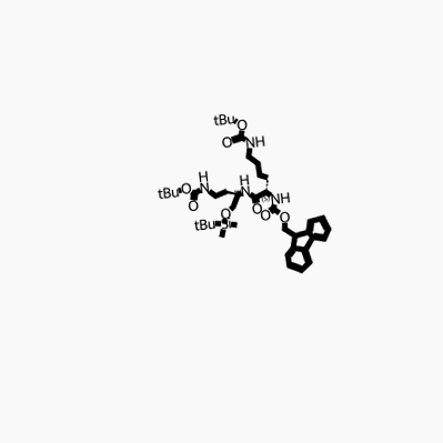 CC(C)(C)OC(=O)NCCCC[C@H](NC(=O)OCC1c2ccccc2-c2ccccc21)C(=O)N[C@H](CCNC(=O)OC(C)(C)C)CO[Si](C)(C)C(C)(C)C